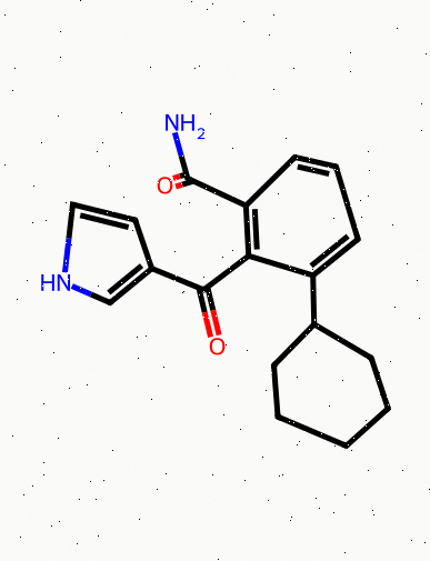 NC(=O)c1cccc(C2CCCCC2)c1C(=O)c1cc[nH]c1